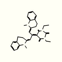 CCN1C(=O)C(=C(C=C2CCc3ccccc3N2C)C=C2CCc3ccccc3N2C)C(=O)N(CC)C1=O